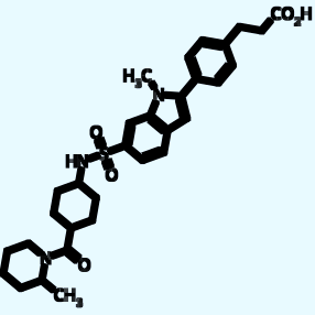 CC1CCCCN1C(=O)C1CCC(NS(=O)(=O)c2ccc3cc(-c4ccc(CCC(=O)O)cc4)n(C)c3c2)CC1